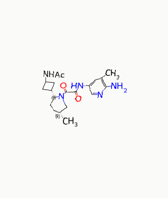 CC(=O)NC1CC([C@H]2CC[C@@H](C)CN2C(=O)C(=O)Nc2cnc(N)c(C)c2)C1